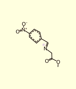 COC(=O)C/N=C/c1ccc([N+](=O)[O-])cc1